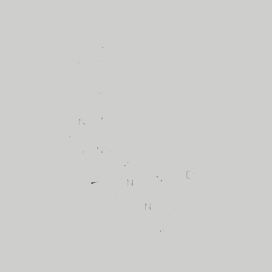 CCc1cc(C)nc(N2C[C@@H](O)[C@H](N3CCN(Cc4ccc(Cl)cc4)CC3)C2)n1